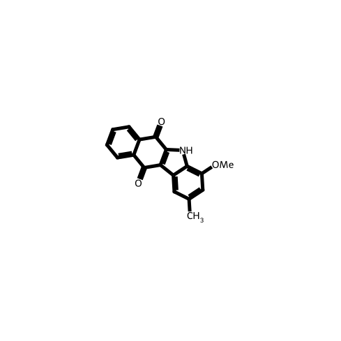 COc1cc(C)cc2c3c([nH]c12)C(=O)c1ccccc1C3=O